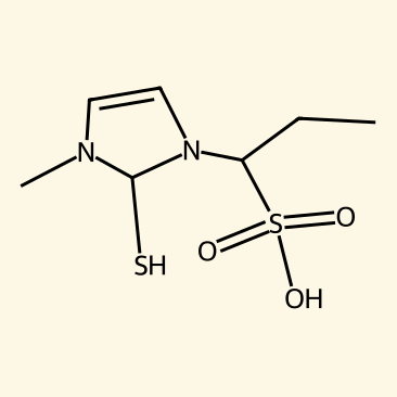 CCC(N1C=CN(C)C1S)S(=O)(=O)O